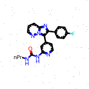 CCCNC(=O)Nc1cc(-c2c(-c3ccc(F)cc3)nc3cccnn23)ccn1